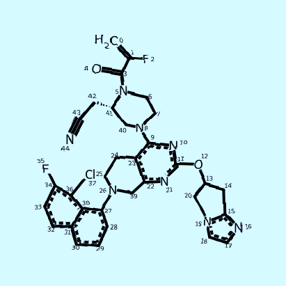 C=C(F)C(=O)N1CCN(c2nc(OC3Cc4nccn4C3)nc3c2CCN(c2cccc4ccc(F)c(Cl)c24)C3)C[C@@H]1CC#N